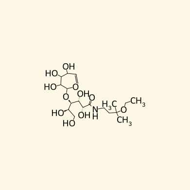 CCOC(C)(C)CCNC(=O)[C@H](O)[C@@H](O)[C@H](OC1OC=CC(O)C(O)C1O)[C@H](O)CO